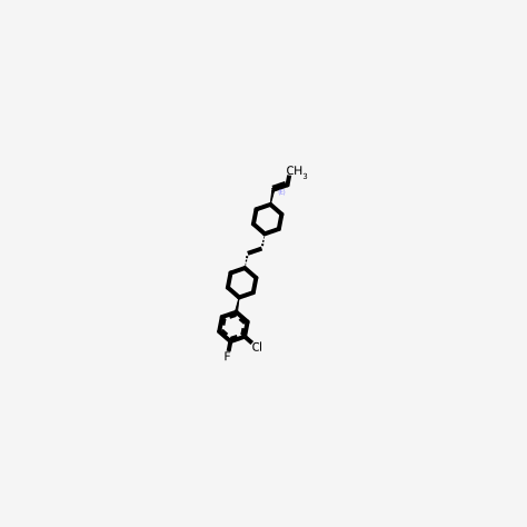 C/C=C/[C@H]1CC[C@H](CC[C@H]2CC[C@H](c3ccc(F)c(Cl)c3)CC2)CC1